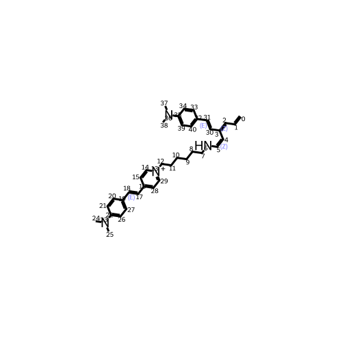 C=C/C=C(\C=C/NCCCCCC[n+]1ccc(/C=C/c2ccc(N(C)C)cc2)cc1)/C=C/c1ccc(N(C)C)cc1